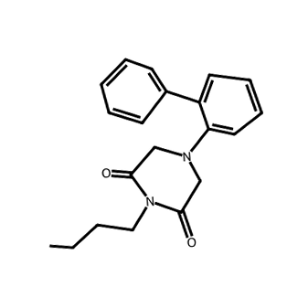 CCCCN1C(=O)CN(c2ccccc2-c2ccccc2)CC1=O